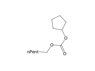 CCCCCCOC(=O)OC1CCCC1